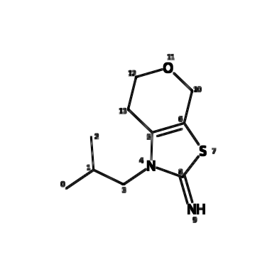 CC(C)Cn1c2c(sc1=N)COCC2